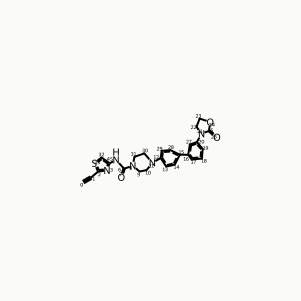 C#Cc1nc(NC(=O)N2CCN(c3ccc(-c4cccc(N5CCOC5=O)c4)cc3)CC2)cs1